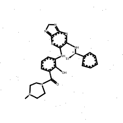 CC[C@@H](Nc1nc2c(nc1Nc1cccc(C(=O)N3CCN(C)CC3)c1O)=NCN=2)c1ccccc1